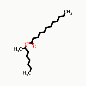 CCCCCCCCCCCC(=O)OC(C)CCCCCC